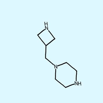 C1CN(CC2CNC2)CCN1